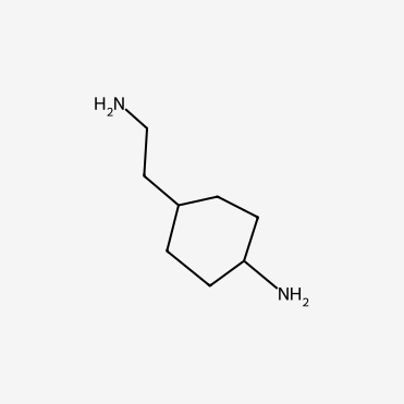 NCCC1CCC(N)CC1